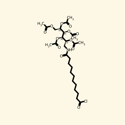 CC(=O)OC[C@@H](OC(C)=O)[C@@H](OC(C)=O)[C@H](OC(C)=O)[C@H](CNC(=O)CCCCCCCCCCC(=O)Cl)OC(C)=O